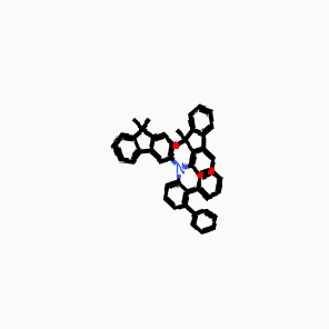 CC1(C)c2ccccc2-c2cc(N(c3cccc(-c4ccccc4)c3-c3ccccc3)c3cccc4c3C(C)(C)c3ccccc3-4)ccc21